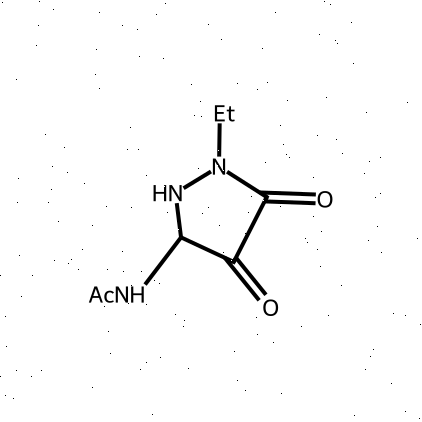 CCN1NC(NC(C)=O)C(=O)C1=O